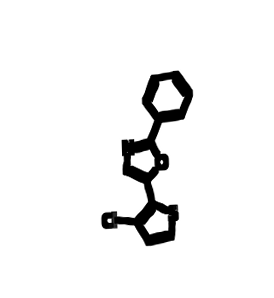 Clc1ccsc1-c1cnc(-c2ccccc2)o1